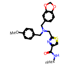 CCCCCCNC(=O)c1csc(CN(Cc2ccc(OC)cc2)Cc2ccc3c(c2)OCO3)n1